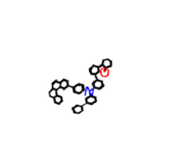 c1ccc(-c2cccc(N(c3ccc(-c4ccc5ccc6ccc7ccccc7c6c5c4)cc3)c3cccc(-c4cccc5c4oc4ccccc45)c3)c2)cc1